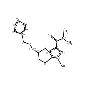 CN(C)C(=O)c1nn(C)c2c1CC(NCCc1ccncc1)CC2